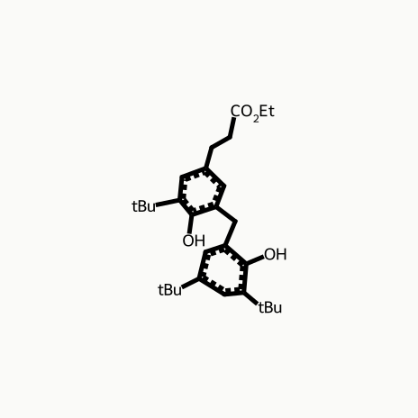 CCOC(=O)CCc1cc(Cc2cc(C(C)(C)C)cc(C(C)(C)C)c2O)c(O)c(C(C)(C)C)c1